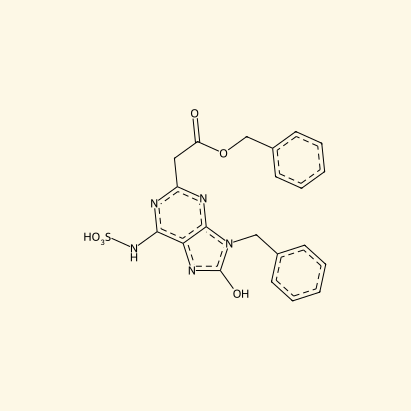 O=C(Cc1nc(NS(=O)(=O)O)c2nc(O)n(Cc3ccccc3)c2n1)OCc1ccccc1